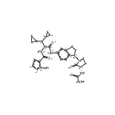 COC(=O)N[C@H]1CCN([C@@H]2CCc3cc(NC(=O)[C@@H](NC(=O)c4ccnn4C(C)C)C(C4CC4)C4CC4)ccc32)C1=O